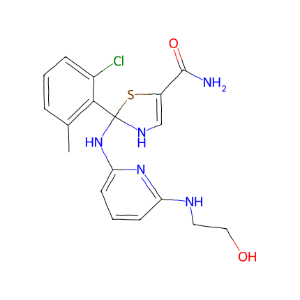 Cc1cccc(Cl)c1C1(Nc2cccc(NCCO)n2)NC=C(C(N)=O)S1